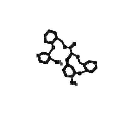 Nc1ccncc1Oc1ccccc1COC(=O)C(=O)OCc1ccccc1Oc1cnccc1N